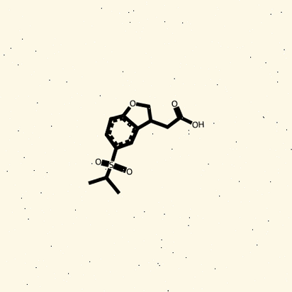 CC(C)S(=O)(=O)c1ccc2c(c1)C(CC(=O)O)CO2